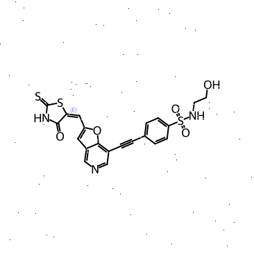 O=C1NC(=S)S/C1=C/c1cc2cncc(C#Cc3ccc(S(=O)(=O)NCCO)cc3)c2o1